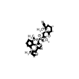 COc1cccc(OC)c1-n1c(NS(=O)(=O)C(C)CN2C(=O)CCC[C@]2(C)C#N)nnc1-c1ccco1